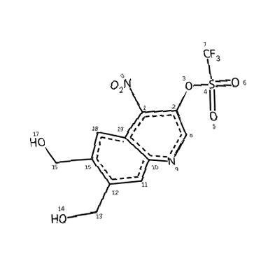 O=[N+]([O-])c1c(OS(=O)(=O)C(F)(F)F)cnc2cc(CO)c(CO)cc12